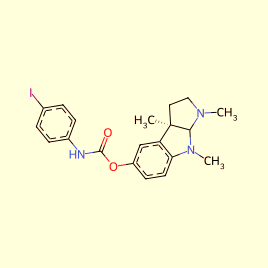 CN1CC[C@]2(C)c3cc(OC(=O)Nc4ccc(I)cc4)ccc3N(C)C12